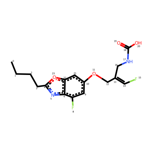 CCCCc1nc2c(F)cc(OC/C(=C/F)CNC(=O)O)cc2o1